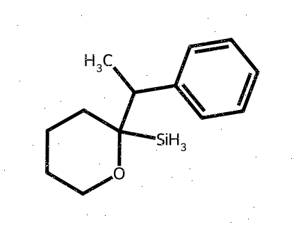 C[C](c1ccccc1)C1([SiH3])CCCCO1